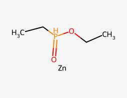 CCO[PH](=O)CC.[Zn]